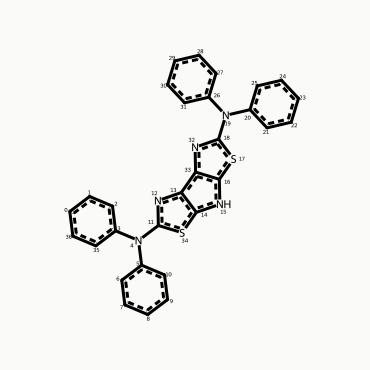 c1ccc(N(c2ccccc2)c2nc3c([nH]c4sc(N(c5ccccc5)c5ccccc5)nc43)s2)cc1